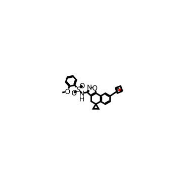 COc1ccccc1S(=O)(=O)Nc1noc2c1CC1(CC1)c1ccc(N3CC4CC3C4)cc1-2